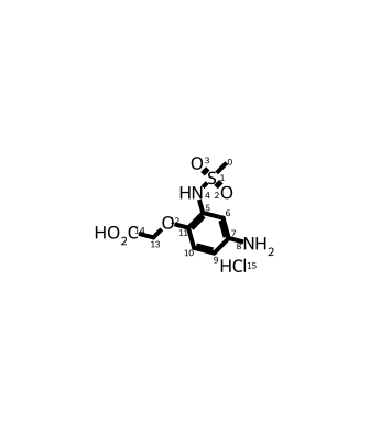 CS(=O)(=O)Nc1cc(N)ccc1OCC(=O)O.Cl